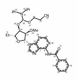 CC[C@H]1O[C@@H](n2cnc3c(NC(=O)c4ccccc4)ncnc32)[C@H](OC)[C@@H]1OP(OCCC#N)N(C(C)C)C(C)C